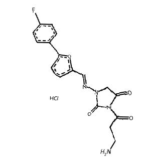 Cl.NCCC(=O)N1C(=O)CN(N=Cc2ccc(-c3ccc(F)cc3)o2)C1=O